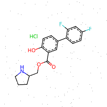 Cl.O=C(OCC1CCCN1)c1cc(-c2ccc(F)cc2F)ccc1O